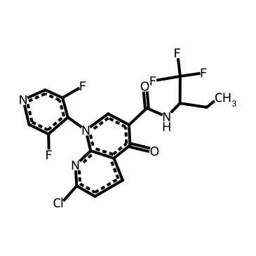 CCC(NC(=O)c1cn(-c2c(F)cncc2F)c2nc(Cl)ccc2c1=O)C(F)(F)F